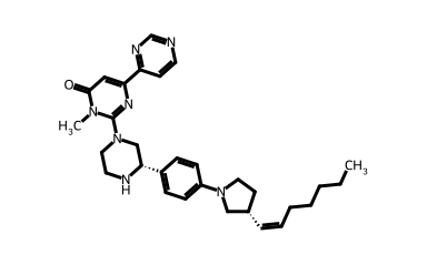 CCCCC/C=C\[C@H]1CCN(c2ccc([C@H]3CN(c4nc(-c5ccncn5)cc(=O)n4C)CCN3)cc2)C1